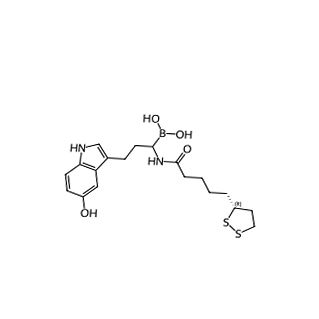 O=C(CCCC[C@@H]1CCSS1)NC(CCc1c[nH]c2ccc(O)cc12)B(O)O